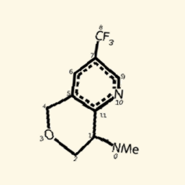 CNC1COCc2cc(C(F)(F)F)cnc21